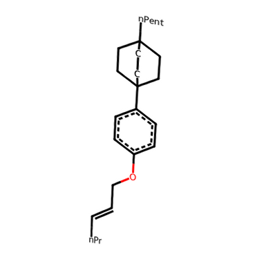 CCCC=CCOc1ccc(C23CCC(CCCCC)(CC2)CC3)cc1